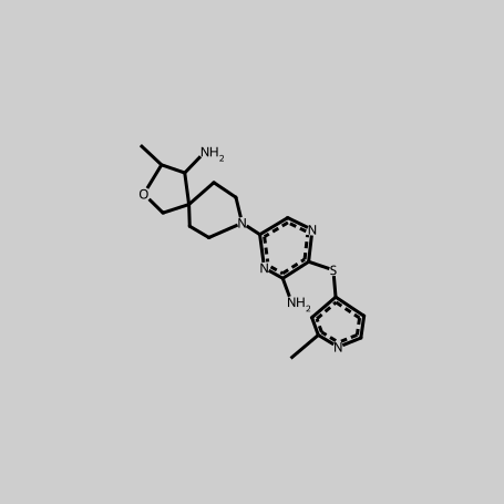 Cc1cc(Sc2ncc(N3CCC4(CC3)COC(C)C4N)nc2N)ccn1